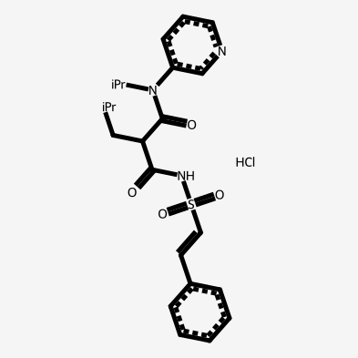 CC(C)CC(C(=O)NS(=O)(=O)/C=C/c1ccccc1)C(=O)N(c1cccnc1)C(C)C.Cl